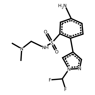 CN(C)CNS(=O)(=O)c1cc(N)ccc1-c1cnn(C(F)F)c1